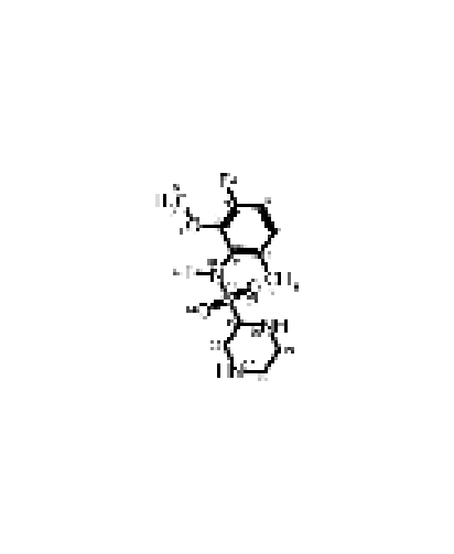 COc1c(F)ccc(C)c1N(F)S(=O)(=O)C1CNCCN1